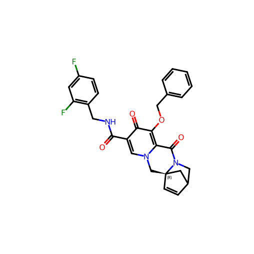 O=C(NCc1ccc(F)cc1F)c1cn2c(c(OCc3ccccc3)c1=O)C(=O)N1CC3C=C[C@]1(C3)C2